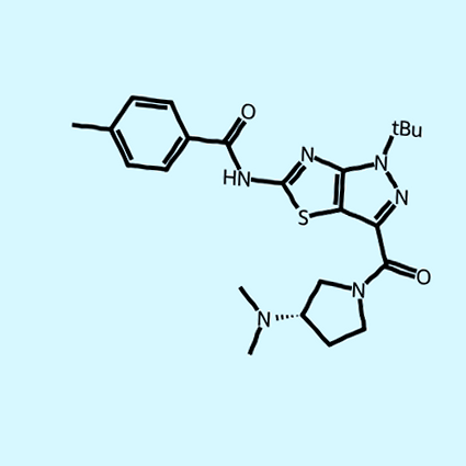 Cc1ccc(C(=O)Nc2nc3c(s2)c(C(=O)N2CC[C@H](N(C)C)C2)nn3C(C)(C)C)cc1